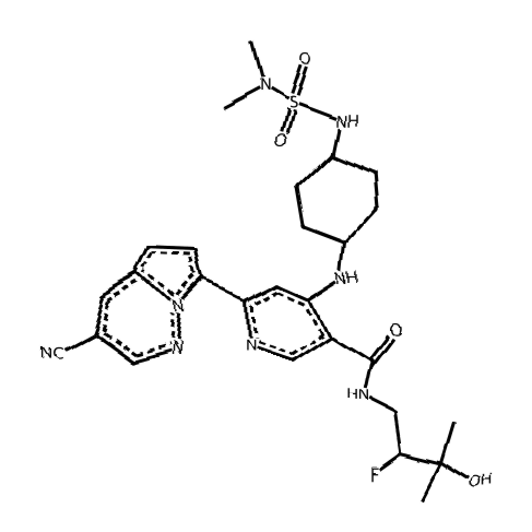 CN(C)S(=O)(=O)NC1CCC(Nc2cc(-c3ccc4cc(C#N)cnn34)ncc2C(=O)NCC(F)C(C)(C)O)CC1